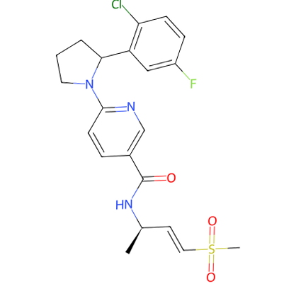 C[C@H](/C=C/S(C)(=O)=O)NC(=O)c1ccc(N2CCCC2c2cc(F)ccc2Cl)nc1